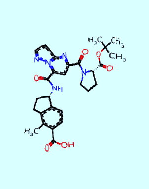 Cc1c(C(=O)O)ccc2c1CC[C@@H]2NC(=O)c1cc(C(=O)N2CCC[C@H]2C(=O)OC(C)(C)C)nc2ccnn12